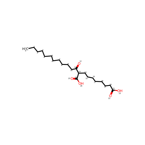 CCCCCCCCCCCC(=O)C(CCCCCCCC(=O)O)C(=O)O